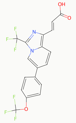 O=C(O)C=Cc1nc(C(F)(F)F)n2cc(-c3ccc(OC(F)(F)F)cc3)ccc12